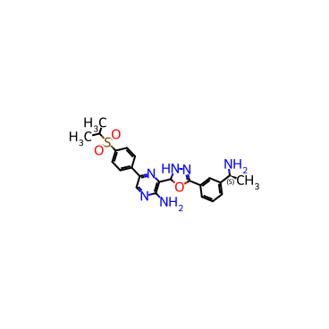 CC(C)S(=O)(=O)c1ccc(-c2cnc(N)c(C3NN=C(c4cccc([C@H](C)N)c4)O3)n2)cc1